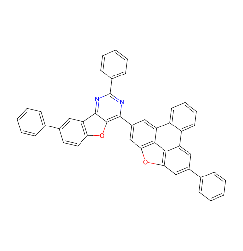 c1ccc(-c2ccc3oc4c(-c5cc6oc7cc(-c8ccccc8)cc8c9ccccc9c(c5)c6c78)nc(-c5ccccc5)nc4c3c2)cc1